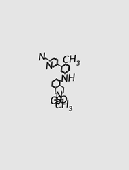 Cc1ccc(Nc2cccc3c2CCN(S(C)(=O)=O)C3)cc1-c1ccc(C#N)nc1